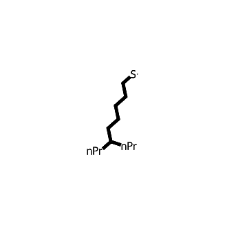 CCCC(CCC)CCCCC[S]